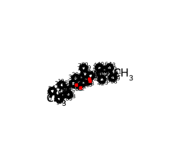 Cc1ccccc1-c1cccc2c1oc1c(N(c3ccccc3)c3ccc4c5c(ccc4c3)-c3c(c4ccc(N(c6ccccc6)c6cccc7c6oc6c(-c8ccccc8C)cccc67)cc4c4ccccc34)C53c4ccccc4-c4ccccc43)cccc12